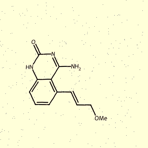 COC/C=C/c1cccc2[nH]c(=O)nc(N)c12